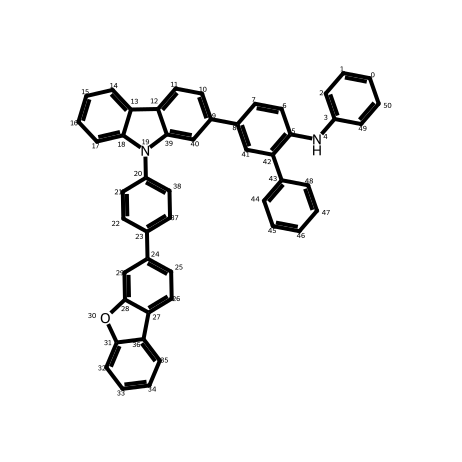 c1ccc(Nc2ccc(-c3ccc4c5ccccc5n(-c5ccc(-c6ccc7c(c6)oc6ccccc67)cc5)c4c3)cc2-c2ccccc2)cc1